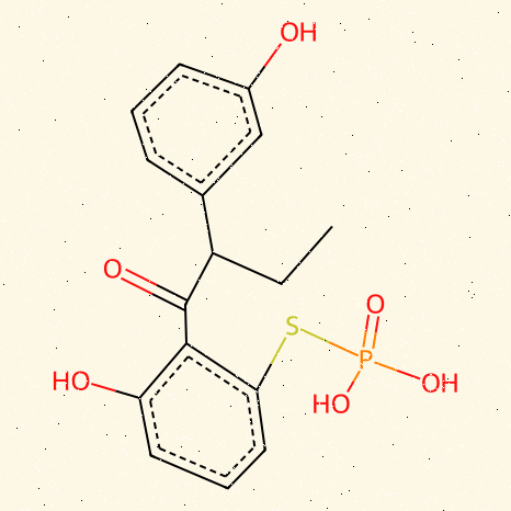 CCC(C(=O)c1c(O)cccc1SP(=O)(O)O)c1cccc(O)c1